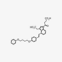 O=C(O)CCC(=O)n1cc(CC(=O)O)c2c(C=Cc3ccc(OCCCCOc4ccccc4)cc3)cccc21